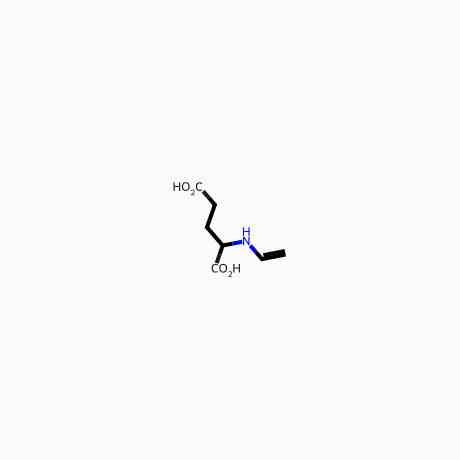 C=CNC(CCC(=O)O)C(=O)O